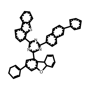 C1=CC2Oc3cc(C4=CCCC=C4)cc(-c4nc(-c5ccc6cc(-c7ccccc7)ccc6c5)nc(-c5cccc6c5sc5ccccc56)n4)c3C2C=C1